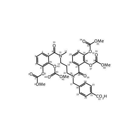 COC(=O)Oc1cccc(C(=O)N(C)CCCN(Cc2ccc(C(=O)O)cc2)C(=O)c2cccc(OC(=O)OC)c2OC(=O)OC)c1OC(=O)OC